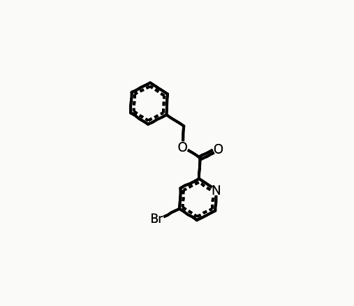 O=C(OCc1ccccc1)c1cc(Br)ccn1